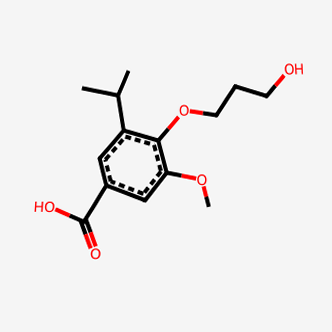 COc1cc(C(=O)O)cc(C(C)C)c1OCCCO